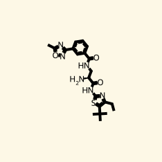 CCc1nc(NC(=O)[C@@H](N)CNC(=O)c2cccc(-c3noc(C)n3)c2)sc1C(C)(C)C